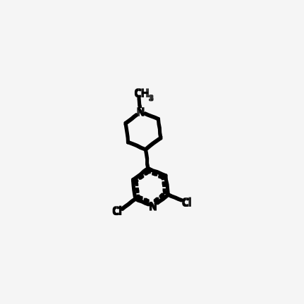 CN1CCC(c2cc(Cl)nc(Cl)c2)CC1